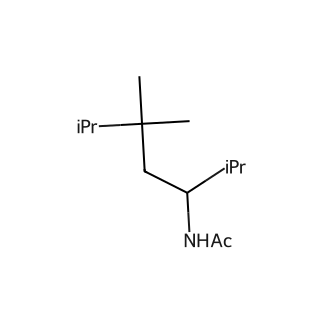 CC(=O)NC(CC(C)(C)C(C)C)C(C)C